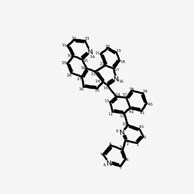 c1cc(-c2ccncc2)nc(-c2ccc(-c3nc4ccccc4c4c3ccc3ccc5cccnc5c34)c3ccccc23)c1